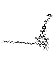 COCCOCCOCCOCCOCCOCCOCCOCCC(=O)N[C@@H](CC(C)C)C(=O)N[C@@H](COI)C(=O)NCC(=O)N[C@@H](CCCNC(=N)N)C(=O)Nc1ccc(COC(=O)NCCN2C(=O)C=CC2=O)cc1